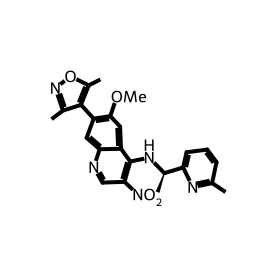 COc1cc2c(N[C@H](C)c3cccc(C)n3)c([N+](=O)[O-])cnc2cc1-c1c(C)noc1C